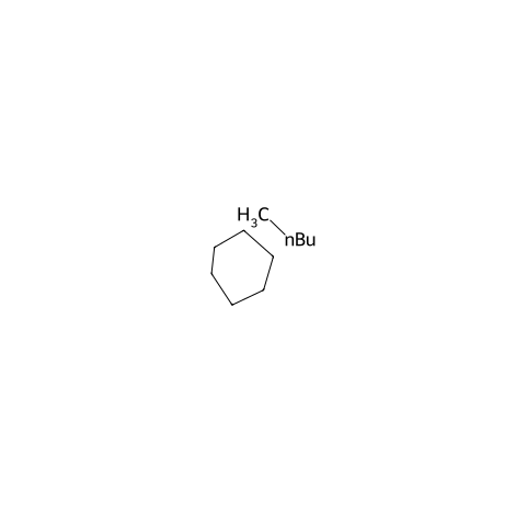 C1CCCCC1.CCCCC